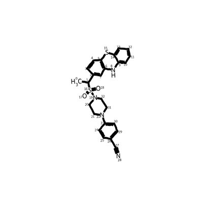 CC(c1ccc2c(c1)Nc1ccccc1S2)S(=O)(=O)N1CCN(c2ccc(C#N)cc2)CC1